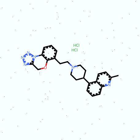 Cc1ccc2c(C3CCN(CCc4cccc5c4OCc4nnnn4-5)CC3)cccc2n1.Cl.Cl